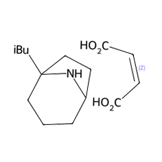 CCC(C)C12CCCC(CC1)N2.O=C(O)/C=C\C(=O)O